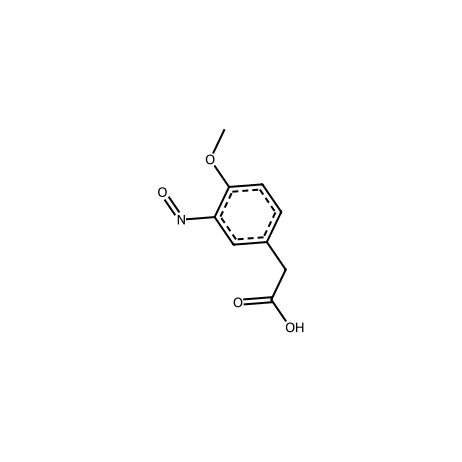 COc1ccc(CC(=O)O)cc1N=O